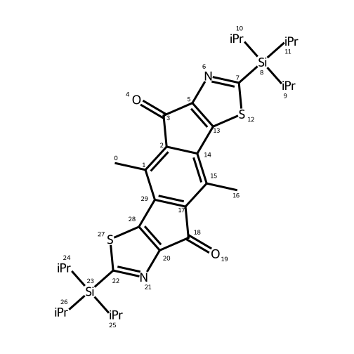 Cc1c2c(=O)c3nc([Si](C(C)C)(C(C)C)C(C)C)sc3c2c(C)c2c(=O)c3nc([Si](C(C)C)(C(C)C)C(C)C)sc3c12